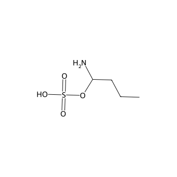 CCCC(N)OS(=O)(=O)O